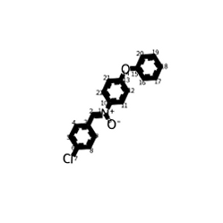 [O-][N+](=Cc1ccc(Cl)cc1)c1ccc(Oc2ccccc2)cc1